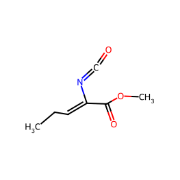 CCC=C(N=C=O)C(=O)OC